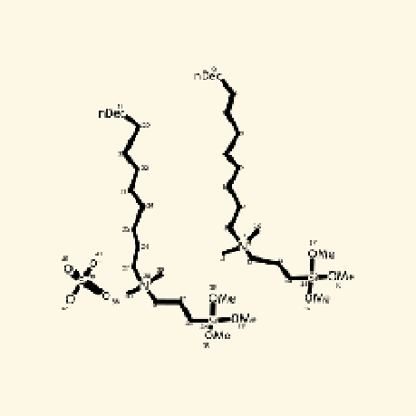 CCCCCCCCCCCCCCCCCC[N+](C)(C)CCC[Si](OC)(OC)OC.CCCCCCCCCCCCCCCCCC[N+](C)(C)CCC[Si](OC)(OC)OC.O=S(=O)([O-])[O-]